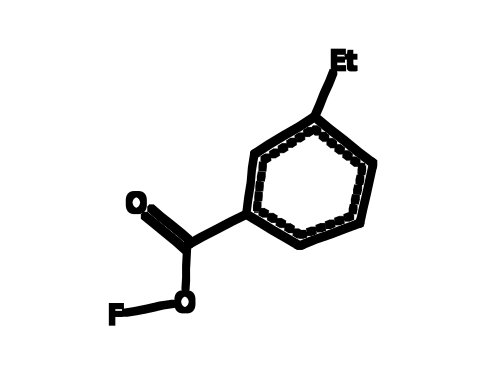 CCc1cccc(C(=O)OF)c1